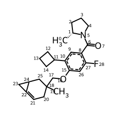 C[C@@H]1CCCN1C(=O)c1cc(C2CCC2)c(OCC2(C)CC=C3CC3C2)cc1F